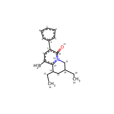 Bc1cc(-c2ccccc2)c(=O)n2c1C(CC)CC(CC)C2